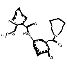 CSc1ncccc1C(=O)Nc1ccc(Cl)c(C(=O)N2CCCCC2)c1